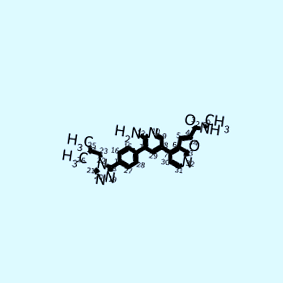 CNC(=O)c1cc2c(-c3cnc(N)c(-c4ccc(-c5nncn5CC(C)C)cc4)c3)ccnc2o1